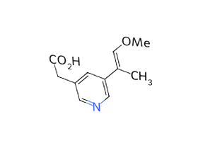 COC=C(C)c1cncc(CC(=O)O)c1